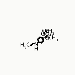 CCCNc1ccc([Si](OC)(OC)OC)cc1